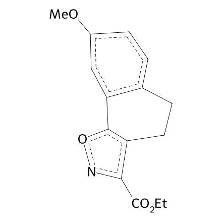 CCOC(=O)c1noc2c1CCc1ccc(OC)cc1-2